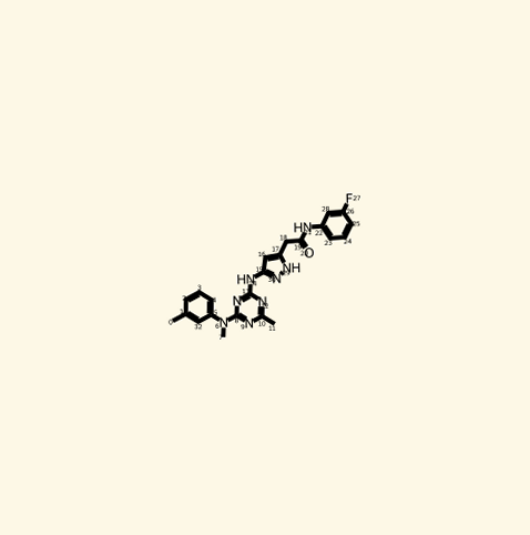 Cc1cccc(N(C)c2nc(C)nc(Nc3cc(CC(=O)Nc4cccc(F)c4)[nH]n3)n2)c1